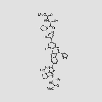 COC(=O)NC(C(=O)N1CCC[C@H]1c1ncc(-c2cc(F)c3c(c2)OC(c2csnn2)n2c-3cc3cc(-c4cnc([C@@]5(O)CCCN5C(=O)[C@@H](NC(=O)OC)C(C)C)[nH]4)ccc32)[nH]1)C(C)C